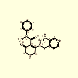 NN(Cc1ccncc1O)C1=C(C(=S)N(N)c2ccccc2)C(=O)CSC1